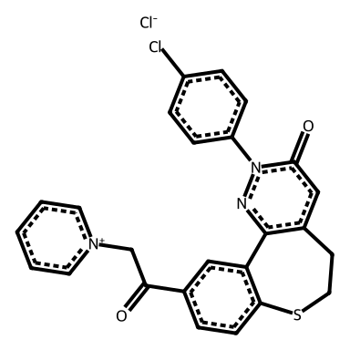 O=C(C[n+]1ccccc1)c1ccc2c(c1)-c1nn(-c3ccc(Cl)cc3)c(=O)cc1CCS2.[Cl-]